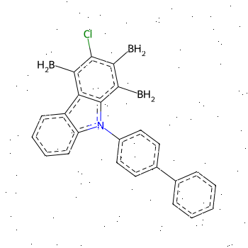 Bc1c(Cl)c(B)c2c3ccccc3n(-c3ccc(-c4ccccc4)cc3)c2c1B